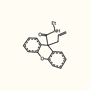 C=CCC1(C(=O)NCC)c2ccccc2Oc2ccccc21